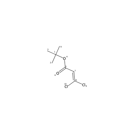 CC(C)(C)OC(=O)C=C(Cl)Cl